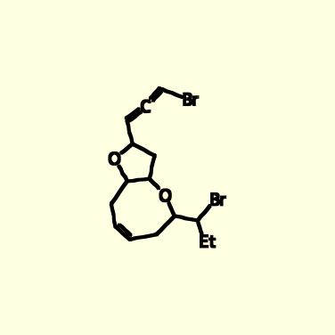 CCC(Br)C1C/C=C\CC2OC(C=C=CBr)CC2O1